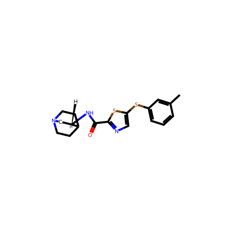 Cc1cccc(Sc2cnc(C(=O)N[C@H]3CN4CCC3CC4)s2)c1